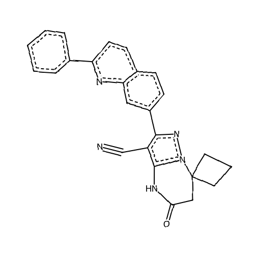 N#Cc1c(-c2ccc3ccc(-c4ccccc4)nc3c2)nn2c1NC(=O)CC21CCC1